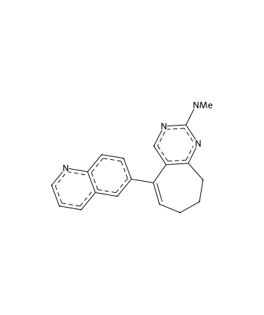 CNc1ncc2c(n1)CCCC=C2c1ccc2ncccc2c1